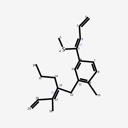 C=C/C=C(\SC)c1ccc(C)c(C/C(CCC)=C(\C)C=C)c1